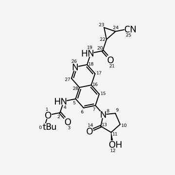 CC(C)(C)OC(=O)Nc1cc(N2CC[C@@H](O)C2=O)cc2cc(NC(=O)C3CC3C#N)ncc12